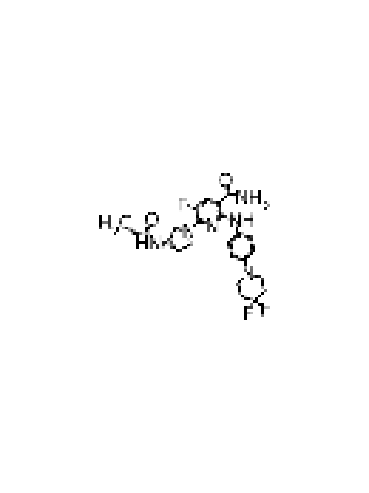 C=CC(=O)N[C@H]1CCN(c2nc(Nc3ccc(N4CCC(F)(F)CC4)cc3)c(C(N)=O)cc2F)C1